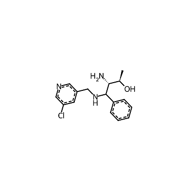 C[C@@H](O)[C@@H](N)C(NCc1cncc(Cl)c1)c1ccccc1